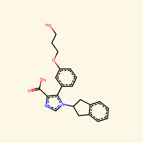 O=C(O)c1ncn(C2Cc3ccccc3C2)c1-c1cccc(OCCCO)c1